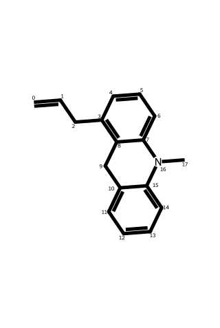 C=CCc1cccc2c1Cc1ccccc1N2C